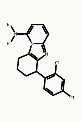 CCN(CC)c1cccc2nc3c(n12)CCCC3c1ccc(Cl)cc1Cl